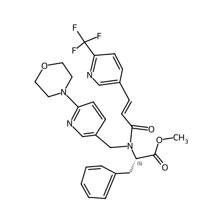 COC(=O)[C@H](Cc1ccccc1)N(Cc1ccc(N2CCOCC2)nc1)C(=O)C=Cc1ccc(C(F)(F)F)nc1